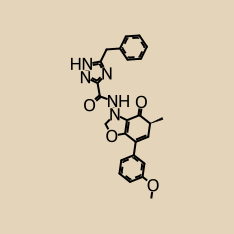 COc1cccc(C2=C[C@H](C)C(=O)C3=C2OCN3NC(=O)c2n[nH]c(Cc3ccccc3)n2)c1